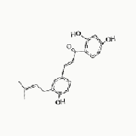 CC(C)=CCc1cc(C=CC(=O)c2ccc(O)cc2O)ccc1O